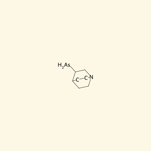 [AsH2]C1CN2CCC1CC2